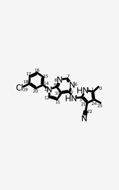 Cc1[nH]c(Nc2ncnc3c2ccn3-c2cccc(Cl)c2)c(C#N)c1C